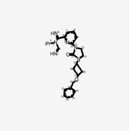 CC(C)N(C=N)C(=N)c1cccc(N2CCN(C3CC(OCc4ccccc4)C3)C2=O)n1